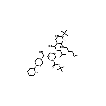 COCCCNC1N[C@H](C(C)(C)C)NCC1C(O)N(CC(C)C)[C@H]1C[C@@H](C(O)N2CCN(C3CCC=CN3)CC2)CN(C(=O)OC(C)(C)C)C1